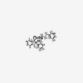 O=C1c2ccccc2CC1(c1ccccc1)C1CN(CCCc2ccccc2)C1